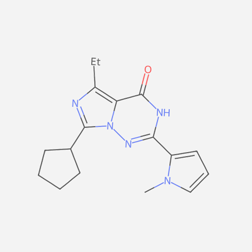 CCc1nc(C2CCCC2)n2nc(-c3cccn3C)[nH]c(=O)c12